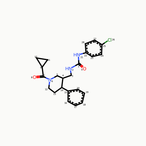 O=C(NCC1CN(C(=O)C2CC2)CCC1c1ccccc1)Nc1ccc(Cl)cc1